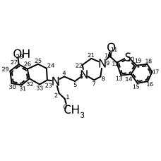 CCCN(CCN1CCN(C(=O)c2cc3ccccc3s2)CC1)C1CCc2c(O)cccc2C1